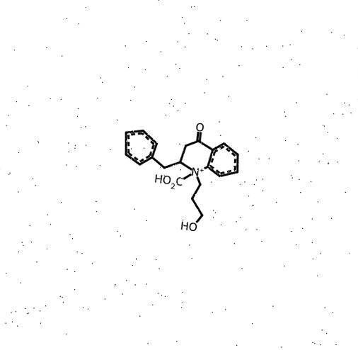 O=C1CC(Cc2ccccc2)[N+](CCCO)(C(=O)O)c2ccccc21